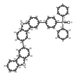 O=P(c1ccccc1)(c1ccccc1)c1ccc(-c2ccc3oc4ccc(-c5ccc6oc7ccccc7c6c5)cc4c3c2)cc1